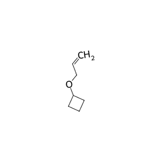 C=CCOC1CCC1